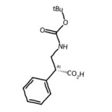 CC(C)(C)OC(=O)NC[C@H](C(=O)O)c1ccccc1